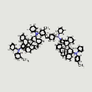 Cc1ccc(N(c2ccccc2)c2cc3c(c4ccccc24)C2(c4ccccc4-c4ccccc42)c2c-3c3ccccc3c3cc(N(c4ccccc4)c4ccc(Cc5cc(C)cc(N(c6ccccc6)c6cc7c(c8ccccc68)C6(c8ccccc8-c8ccccc86)c6c-7c7ccccc7c7cc(N(c8ccccc8)c8cccc(C)c8)ccc67)c5)cc4)ccc23)cc1